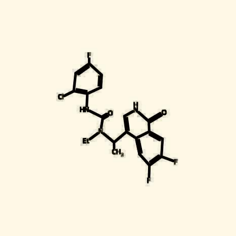 CCN(C(=O)Nc1ccc(F)cc1Cl)C(C)c1c[nH]c(=O)c2cc(F)c(F)cc12